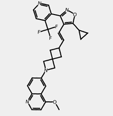 COc1ccnc2ccc(N3CC4(CC(/C=C/c5c(-c6cnccc6C(F)(F)F)noc5C5CC5)C4)C3)cc12